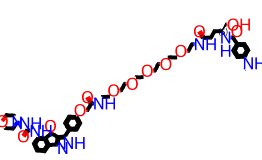 CNc1ccc(C(=O)N[C@H](CO)CCC(=O)NCCOCCOCCOCCOCCOCCNC(=O)COc2ccc(-c3[nH]nc4c3C(=O)c3c(NC(=O)NN5CCOCC5)cccc3-4)cc2)cc1